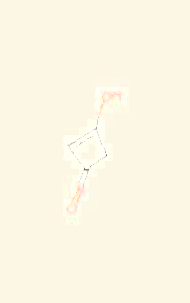 O=C1C=C(O)C1